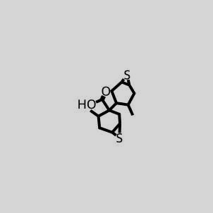 CC1CC2SC2CC1C1(C(=O)O)CC2SC2CC1C